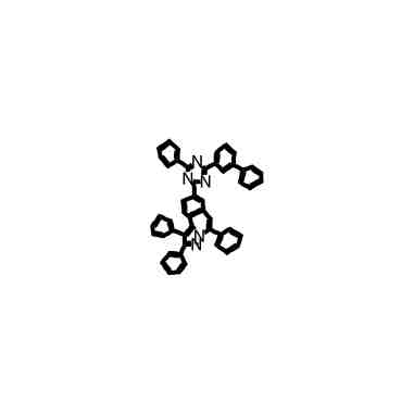 c1ccc(-c2cccc(-c3nc(-c4ccccc4)nc(-c4ccc5c(c4)cc(-c4ccccc4)n4nc(-c6ccccc6)c(-c6ccccc6)c54)n3)c2)cc1